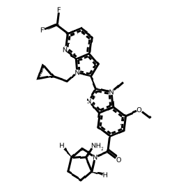 COc1cc(C(=O)N2C[C@H]3CC[C@@H]2C3N)cc2nc(-c3cc4ccc(C(F)F)nc4n3CC3CC3)n(C)c12